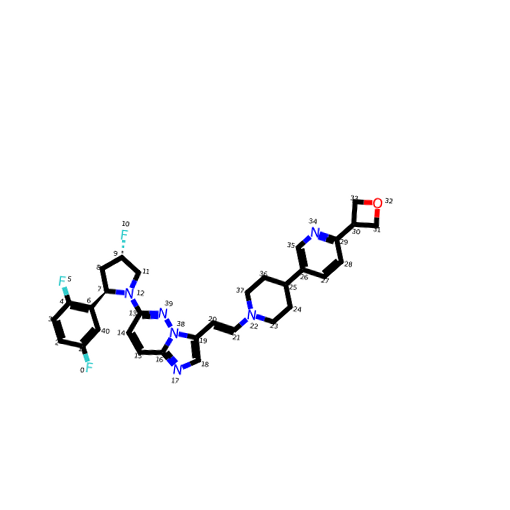 Fc1ccc(F)c([C@H]2C[C@H](F)CN2c2ccc3ncc(/C=C/N4CCC(c5ccc(C6COC6)nc5)CC4)n3n2)c1